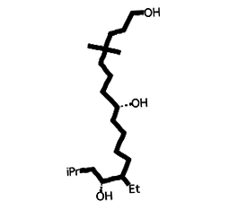 CCC(CCCC[C@@H](O)CCCC(C)(C)CCCO)[C@H](O)CC(C)C